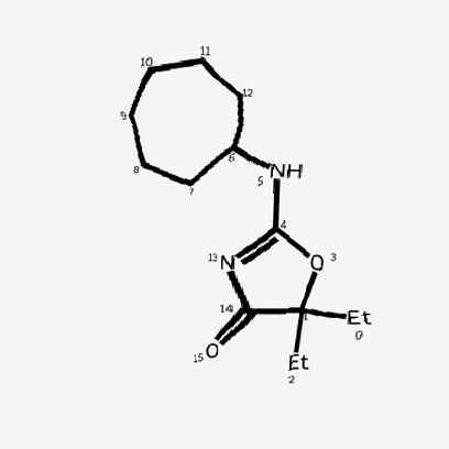 CCC1(CC)OC(NC2CCCCCC2)=NC1=O